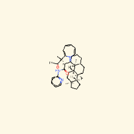 CCC(=O)C(C)(C1=CC=CC=CN1)[C@@H](C(=O)Nc1ccccn1)C1CCCC2CC[C@H]3[C@@H]4CCC[C@@]4(C)CC[C@@H]3[C@]21C